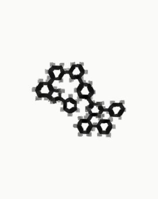 c1ccc(-c2nc(-c3ccc(-c4cccc(-c5cccc(-c6cccc7nc(-c8ccccc8)sc67)c5)c4)cc3)nc(-c3ccccc3-c3ccccc3)n2)cc1